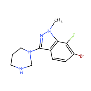 Cn1nc(N2CCCNC2)c2ccc(Br)c(F)c21